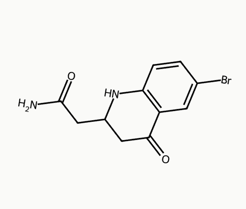 NC(=O)CC1CC(=O)c2cc(Br)ccc2N1